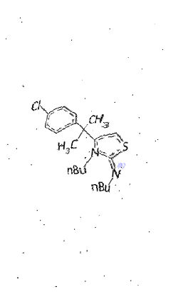 CCCC/N=c1/scc(C(C)(C)c2ccc(Cl)cc2)n1CCCC